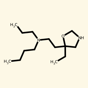 CCCCN(CCC)CCC1(CC)CNCO1